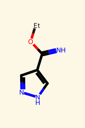 CCOC(=N)c1cn[nH]c1